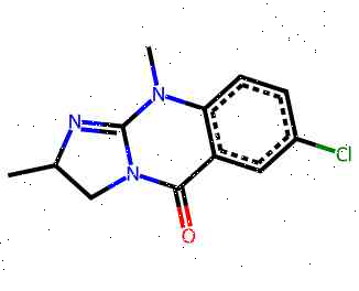 CC1CN2C(=O)c3cc(Cl)ccc3N(C)C2=N1